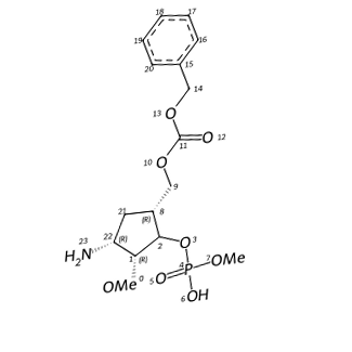 CO[C@H]1C(OP(=O)(O)OC)[C@@H](COC(=O)OCc2ccccc2)C[C@H]1N